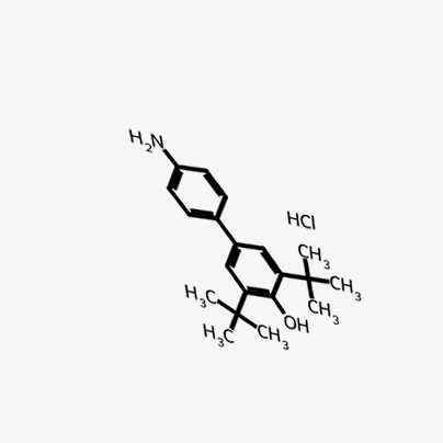 CC(C)(C)c1cc(-c2ccc(N)cc2)cc(C(C)(C)C)c1O.Cl